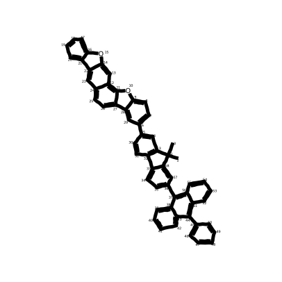 CC1(C)c2cc(-c3ccc4oc5c6cc7oc8ccccc8c7cc6ccc5c4c3)ccc2-c2ccc(-c3c4ccccc4c(-c4ccccc4)c4ccccc34)cc21